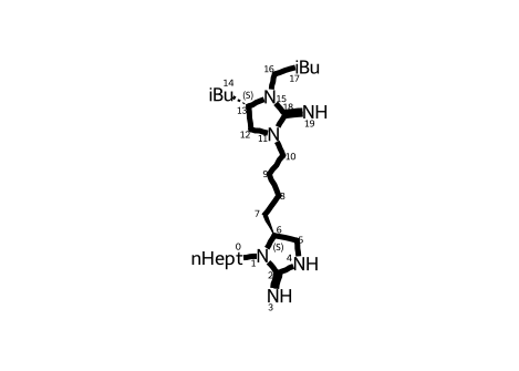 CCCCCCCN1C(=N)NC[C@@H]1CCCCN1C[C@H](C(C)CC)N(CC(C)CC)C1=N